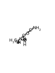 Cn1ccnc1CN(CCOCCOCCOCCN)Cc1ncc[nH]1